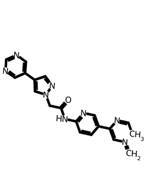 C=N/C=C(\N=C/C)c1ccc(NC(=O)Cn2cc(-c3cncnc3)cn2)nc1